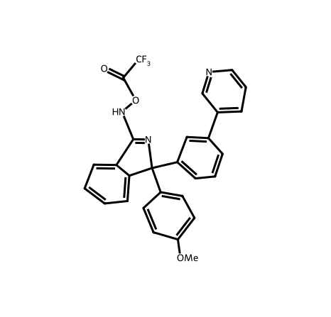 COc1ccc(C2(c3cccc(-c4cccnc4)c3)N=C(NOC(=O)C(F)(F)F)c3ccccc32)cc1